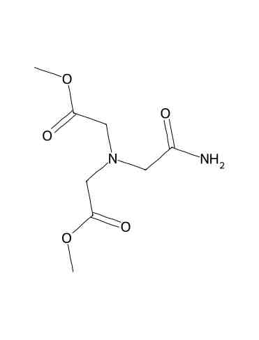 COC(=O)CN(CC(N)=O)CC(=O)OC